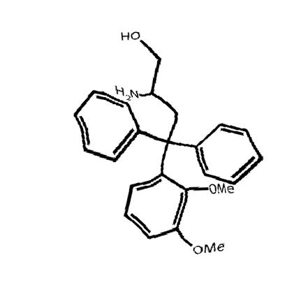 COc1cccc(C(CC(N)CO)(c2ccccc2)c2ccccc2)c1OC